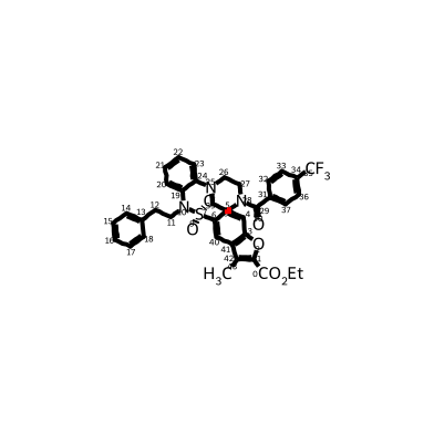 CCOC(=O)c1oc2ccc(S(=O)(=O)N(CCc3ccccc3)c3ccccc3N3CCN(C(=O)c4ccc(C(F)(F)F)cc4)CC3)cc2c1C